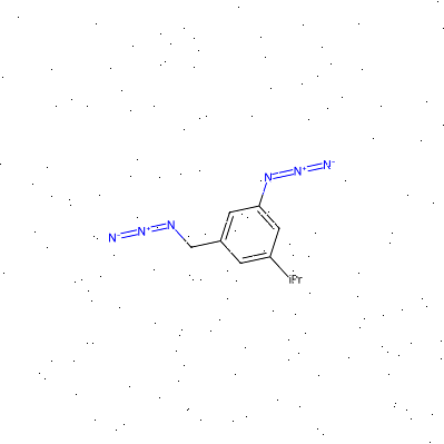 CC(C)c1cc(CN=[N+]=[N-])cc(N=[N+]=[N-])c1